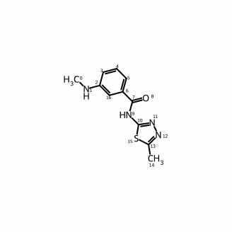 CNc1cccc(C(=O)Nc2nnc(C)s2)c1